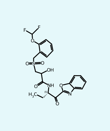 CC[C@H](NC(=O)C(O)CS(=O)(=O)Cc1ccccc1OC(F)F)C(=O)c1nc2ccccc2o1